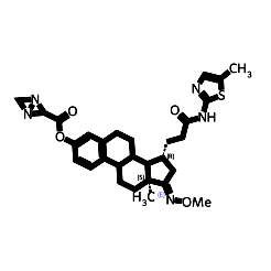 CO/N=C1\C[C@@H](CCC(=O)Nc2ncc(C)s2)C2C3CCc4cc(OC(=O)C5N6CN56)ccc4C3CC[C@]12C